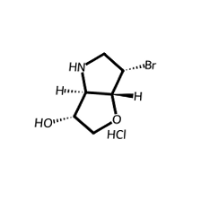 Cl.O[C@H]1CO[C@@H]2[C@@H]1NC[C@@H]2Br